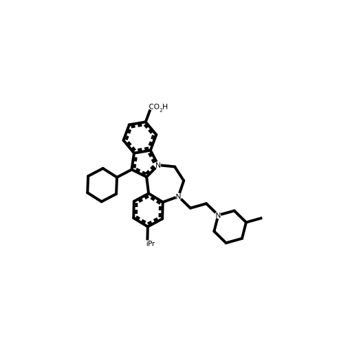 CC1CCCN(CCN2CCn3c(c(C4CCCCC4)c4ccc(C(=O)O)cc43)-c3ccc(C(C)C)cc32)C1